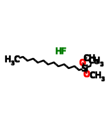 CCCCCCCCCCCCC[Si](CC)(OC)OC.F